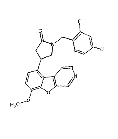 COc1ccc(C2CC(=O)N(Cc3ccc(Cl)cc3F)C2)c2c1oc1cnccc12